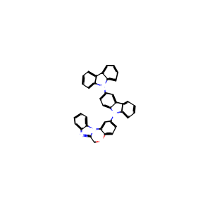 c1ccc2c(c1)nc1n2-c2cc(-n3c4ccccc4c4cc(-n5c6ccccc6c6ccccc65)ccc43)ccc2OC1